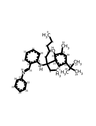 CCCCCC(CC)(Pc1ccccc1/C=N/c1ccccc1)c1cc(C(C)(C)C)cc(C)c1O